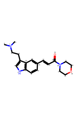 CN(C)CCc1c[nH]c2ccc(C=CC(=O)N3CCOCC3)cc12